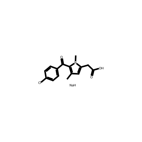 Cc1cc(CC(=O)O)n(C)c1C(=O)c1ccc(Cl)cc1.[NaH]